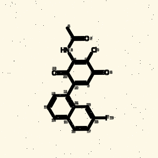 CC(=O)NC1=C(Cl)C(=O)C=C(c2cccc3ccc(F)cc23)C1=O